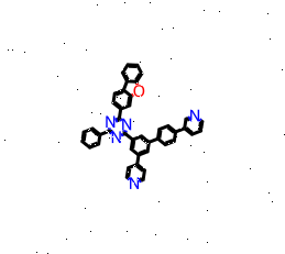 c1ccc(-c2nc(-c3cc(-c4ccncc4)cc(-c4ccc(-c5cccnc5)cc4)c3)nc(-c3ccc4c(c3)oc3ccccc34)n2)cc1